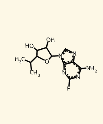 CC(C)C1OC(n2cnc3c(N)nc(F)nc32)C(O)C1O